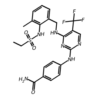 CCS(=O)(=O)Nc1c(C)cccc1CNc1nc(Nc2ccc(C(N)=O)cc2)ncc1C(F)(F)F